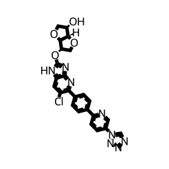 O[C@@H]1COC2[C@H](Oc3nc4nc(-c5ccc(-c6ccc(-n7cnnn7)cn6)cc5)c(Cl)cc4[nH]3)CO[C@@H]21